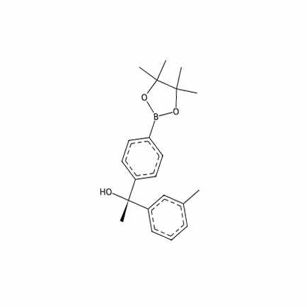 Cc1cccc([C@](C)(O)c2ccc(B3OC(C)(C)C(C)(C)O3)cc2)c1